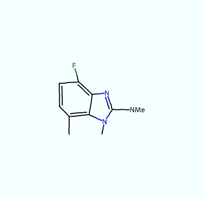 CNc1nc2c(F)ccc(C)c2n1C